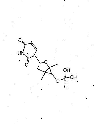 CC12CC(n3ccc(=O)[nH]c3=O)OC1(C)C2OP(=O)(O)O